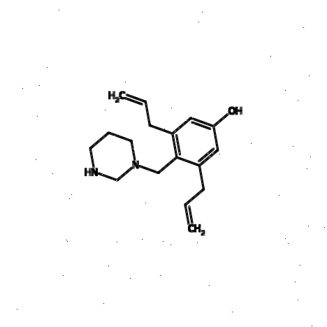 C=CCc1cc(O)cc(CC=C)c1CN1CCCNC1